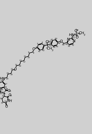 CC(C)(c1ccc(OCCCCCCCCOCCCCNc2ccc3c(c2)C(=O)N(C2CCC(=O)NC2=O)C3=O)cc1)c1ccc(OCc2ccnc(NS(C)(=O)=O)n2)cc1